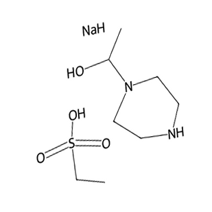 CC(O)N1CCNCC1.CCS(=O)(=O)O.[NaH]